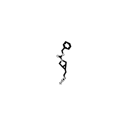 [N-]=[N+]=NCCC1C2CN(C(=O)OCc3ccccc3)CC12